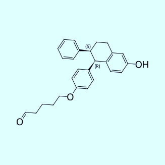 O=CCCCCOc1ccc([C@@H]2c3ccc(O)cc3CC[C@@H]2c2ccccc2)cc1